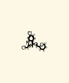 ClCc1nc(OCC2CCCCO2)c2ccc(Cl)cc2n1